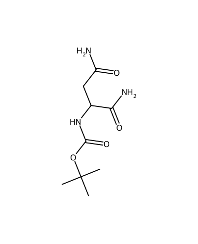 CC(C)(C)OC(=O)NC(CC(N)=O)C(N)=O